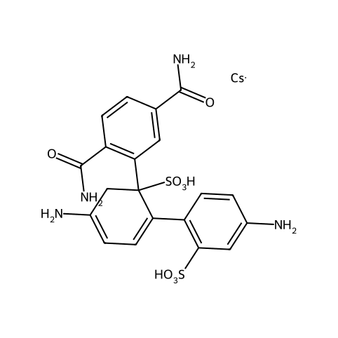 NC(=O)c1ccc(C(N)=O)c(C2(S(=O)(=O)O)CC(N)=CC=C2c2ccc(N)cc2S(=O)(=O)O)c1.[Cs]